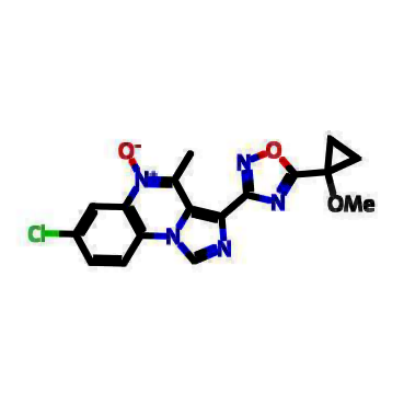 COC1(c2nc(-c3ncn4c3c(C)[n+]([O-])c3cc(Cl)ccc34)no2)CC1